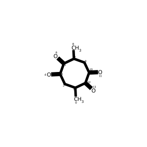 CC1CC(=O)C(=O)C(C)CC(=O)C1=O